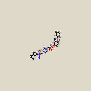 O=C(CN1CCN(C[C@@H](O)COc2ccc3oc(-c4ccccc4)nc3c2)CC1)N[C@H]1CCc2ccccc21